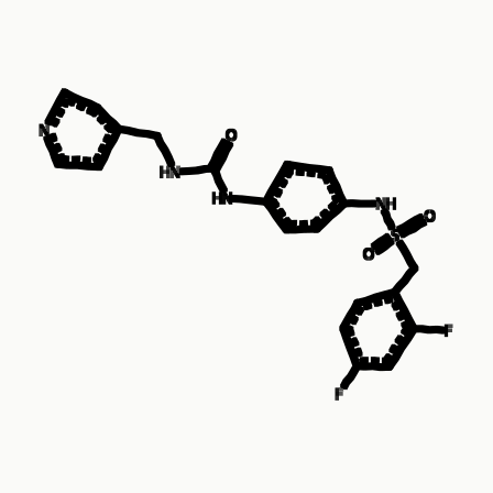 O=C(NCc1ccncc1)Nc1ccc(NS(=O)(=O)Cc2ccc(F)cc2F)cc1